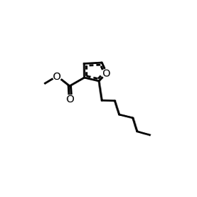 CCCCCCc1occc1C(=O)OC